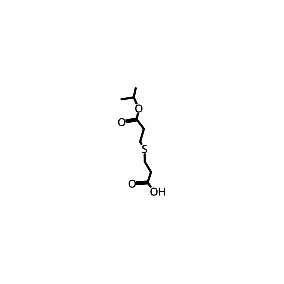 CC(C)OC(=O)CCSCCC(=O)O